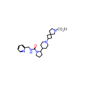 CCOC(=O)N1CCC2(CC(N3CCC(C4CCCN4C(=O)NCc4ccccn4)CC3)C2)C1